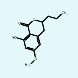 CCCC1Cc2cc(OC)cc(O)c2C(=O)O1